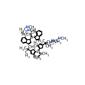 CC1=[C]([Zr]([C]2=C(C)C=C(C(C)(C)C)C2)=[Si](C)C)CC(C(C)(C)C)=C1.C[N-]C.C[N-]C.C[N-]C.C[N-]C.C[Si](C)=[Zr+4]([CH]1C=Cc2ccccc21)[CH]1C=Cc2ccccc21